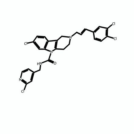 O=C(NCc1ccnc(Cl)c1)n1c2c(c3ccc(Cl)cc31)CN(CC=Cc1ccc(Cl)c(Cl)c1)CC2